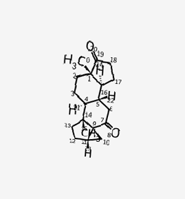 C[C@]12CC[C@H]3[C@@H](CC(=O)[C@]45C[C@@H]4CC[C@]35C)[C@@H]1CCC2=O